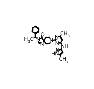 Cc1cc(Nc2cc(C)[nH]n2)nc(N2CCC3(CC2)N=CN([C@@H](C)c2ccccc2)C3=O)n1